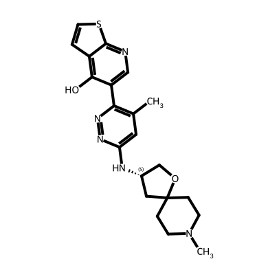 Cc1cc(N[C@@H]2COC3(CCN(C)CC3)C2)nnc1-c1cnc2sccc2c1O